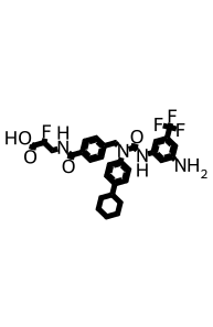 Nc1cc(NC(=O)N(Cc2ccc(C(=O)NCC(F)C(=O)O)cc2)c2ccc(C3CCCCC3)cc2)cc(C(F)(F)F)c1